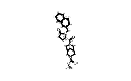 CC(C)(C)OC(=O)N1CC2CC(C1)CN(C(=O)[C@@H]1CCC(=O)N1Cc1ccc3ccccc3c1)C2